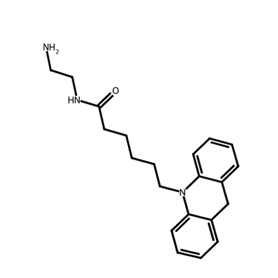 NCCNC(=O)CCCCCN1c2ccccc2Cc2ccccc21